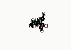 Cn1cc([C@@](C)(O)c2cc(F)c3c(c2)C(=O)N(Cc2ccc(C#N)cn2)[C@@]3(O[C@H]2CCC(=O)C2)c2ccc(Cl)cc2)cn1